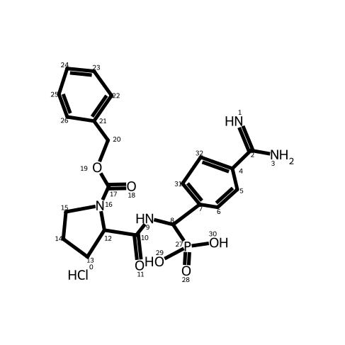 Cl.N=C(N)c1ccc(C(NC(=O)C2CCCN2C(=O)OCc2ccccc2)P(=O)(O)O)cc1